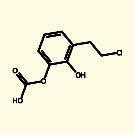 O=C(O)Oc1cccc(CCCl)c1O